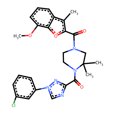 COc1cccc2c(C)c(C(=O)N3CCN(C(=O)c4ncn(-c5cccc(Cl)c5)n4)C(C)(C)C3)oc12